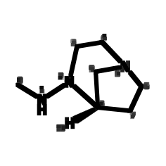 CNN1CCN2CC[C@H]1C2